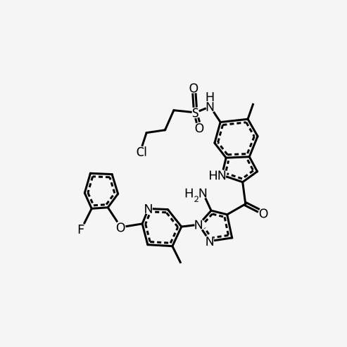 Cc1cc2cc(C(=O)c3cnn(-c4cnc(Oc5ccccc5F)cc4C)c3N)[nH]c2cc1NS(=O)(=O)CCCCl